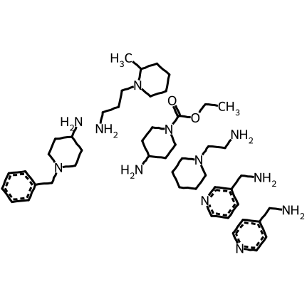 CC1CCCCN1CCCN.CCOC(=O)N1CCC(N)CC1.NC1CCN(Cc2ccccc2)CC1.NCCN1CCCCC1.NCc1cccnc1.NCc1ccncc1